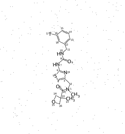 CN(Cc1csc(NC(=O)NCc2cccc(F)c2)n1)C(=O)C1(C)COC1